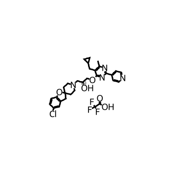 Cc1nc(-c2ccncc2)nc(OC[C@@H](O)CN2CCC3(CC2)Cc2cc(Cl)ccc2O3)c1CC1CC1.O=C(O)C(F)(F)F